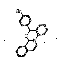 Brc1ccc(C2OC3c4ccccc4C=CN3c3ccccc32)cc1